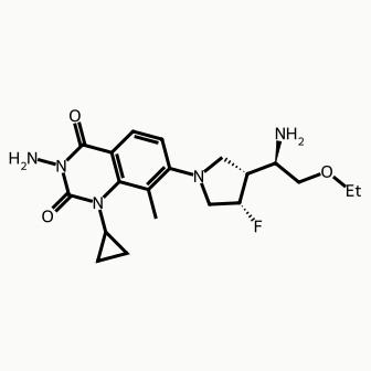 CCOC[C@H](N)[C@H]1CN(c2ccc3c(=O)n(N)c(=O)n(C4CC4)c3c2C)C[C@H]1F